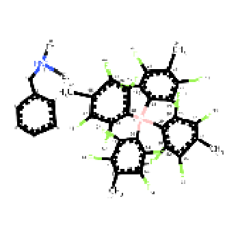 CC[NH+](CC)Cc1ccccc1.Cc1c(F)c(F)c([B-](c2c(F)c(F)c(C)c(F)c2F)(c2c(F)c(F)c(C)c(F)c2F)c2c(F)c(F)c(C)c(F)c2F)c(F)c1F